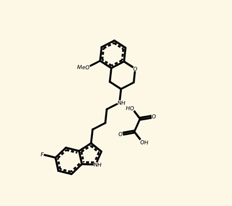 COc1cccc2c1CC(NCCCc1c[nH]c3ccc(F)cc13)CO2.O=C(O)C(=O)O